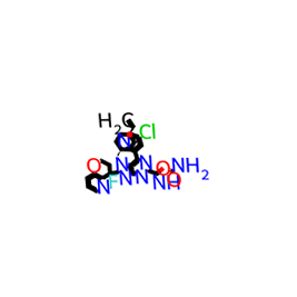 C=C[C@H]1CC[C@H](Cn2c(C3(F)CCOc4cccnc43)nc3nc(C(=N)OC(N)=O)nc(-c4cncc(Cl)c4)c32)CC1